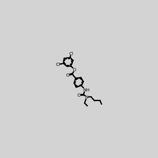 CCCCN(CC)C(=O)Nc1ccc(C(=O)Oc2cc(Cl)cc(Cl)c2)cc1